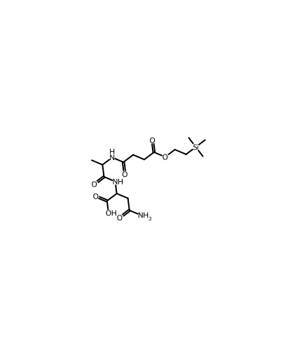 CC(NC(=O)CCC(=O)OCC[Si](C)(C)C)C(=O)NC(CC(N)=O)C(=O)O